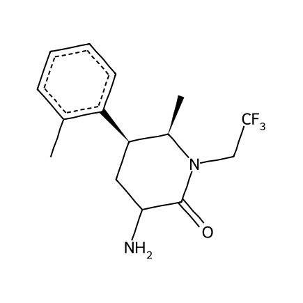 Cc1ccccc1[C@@H]1CC(N)C(=O)N(CC(F)(F)F)[C@@H]1C